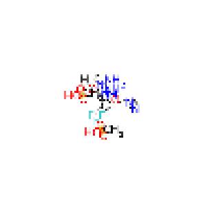 CN(C(=N)N)C(=O)c1cc2c(CC(F)(F)F)ccc(OCCn3ccnc3)c2[nH]1.CS(=O)(=O)O.CS(=O)(=O)O